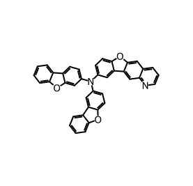 c1cnc2cc3c(cc2c1)oc1ccc(N(c2ccc4c(c2)oc2ccccc24)c2ccc4oc5ccccc5c4c2)cc13